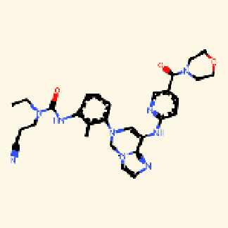 CCN(CCC#N)C(=O)Nc1cccc(N2C=C(Nc3ccc(C(=O)N4CCOCC4)cn3)C3=NC=C[N+]3C2)c1C